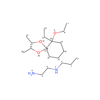 CCCNCCN.CCOC1(CC)CCCC[Si]1(OCC)OCC